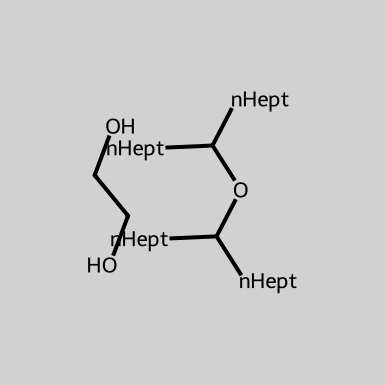 CCCCCCCC(CCCCCCC)OC(CCCCCCC)CCCCCCC.OCCO